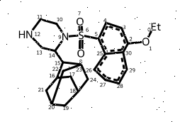 CCOc1ccc(S(=O)(=O)N2CCNCC2C2C3CC4CC(C3)CC2C4)c2ccccc12